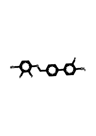 CCCc1ccc(OCc2ccc(-c3ccc(C)c(F)c3)cc2)c(F)c1F